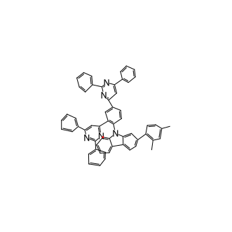 Cc1ccc(-c2ccc3c4ccccc4n(-c4ccc(-c5cc(-c6ccccc6)nc(-c6ccccc6)n5)cc4-c4cc(-c5ccccc5)nc(-c5ccccc5)n4)c3c2)c(C)c1